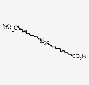 O=C(O)CCCCCCCCCCCCCSSSSCCCCCCCCCCCCCC(=O)O